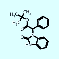 CC(C)(C)OC(=O)C(c1ccccc1)n1c(=O)[nH]c2ccccc21